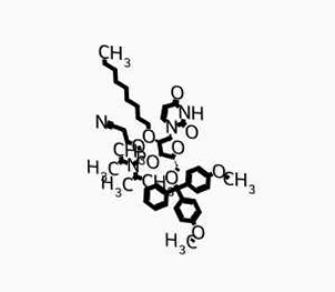 CCCCCCCCCO[C@@H]1[C@H](OP(OCCC#N)N(C(C)C)C(C)C)[C@@H](COC(c2ccccc2)(c2ccc(OC)cc2)c2ccc(OC)cc2)O[C@H]1n1ccc(=O)[nH]c1=O